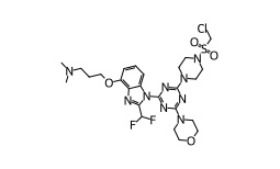 CN(C)CCCOc1cccc2c1nc(C(F)F)n2-c1nc(N2CCOCC2)nc(N2CCN(S(=O)(=O)CCl)CC2)n1